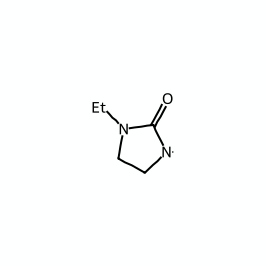 [CH2]CN1CC[N]C1=O